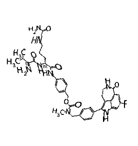 CC(C)[C@H](N)C(=O)N[C@@H](CCCNC(N)=O)C(=O)Nc1ccc(COC(=O)N(C)Cc2ccc(-c3[nH]c4cc(F)cc5c4c3CCNC5=O)cc2)cc1